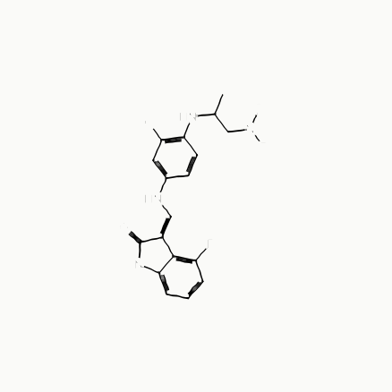 CCN(CC)CC(C)Nc1ccc(NC=C2C(=O)Nc3cccc(F)c32)cc1C(F)(F)F